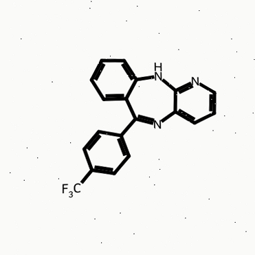 FC(F)(F)c1ccc(C2=Nc3cccnc3Nc3ccccc32)cc1